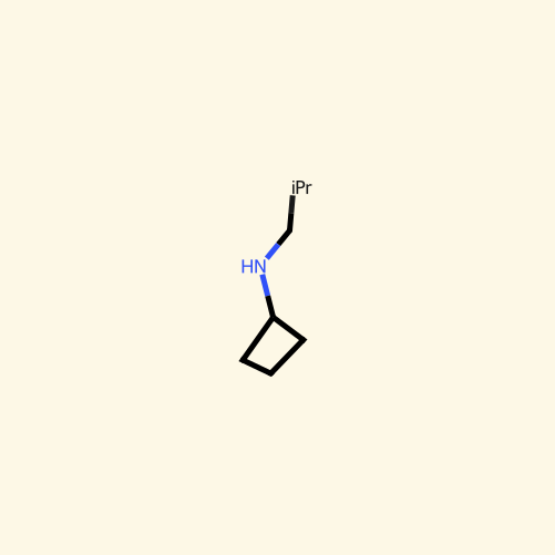 CC(C)CNC1CCC1